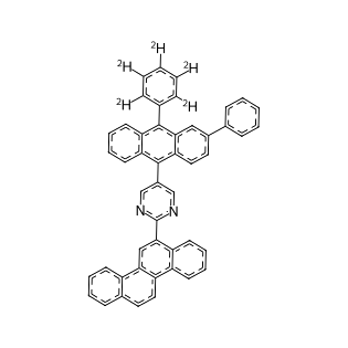 [2H]c1c([2H])c([2H])c(-c2c3ccccc3c(-c3cnc(-c4cc5c6ccccc6ccc5c5ccccc45)nc3)c3ccc(-c4ccccc4)cc23)c([2H])c1[2H]